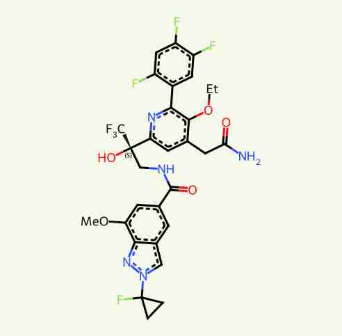 CCOc1c(CC(N)=O)cc([C@@](O)(CNC(=O)c2cc(OC)c3nn(C4(F)CC4)cc3c2)C(F)(F)F)nc1-c1cc(F)c(F)cc1F